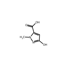 Cn1nc(O)cc1C(=O)O